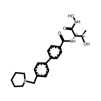 C[C@@H](O)[C@H](NC(=O)c1ccc(-c2ccc(CN3CCCCC3)cc2)cc1)C(=O)NO